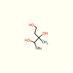 CCCCC(O)C(C)(O)CCO